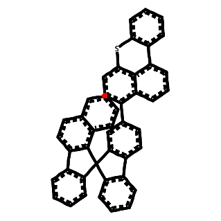 c1ccc2c(c1)Sc1ccc(-c3ccc4c(c3)C3(c5ccccc5-4)c4ccccc4-c4ccc5ccccc5c43)c3cccc-2c13